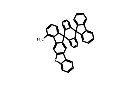 Cc1cccc2c1-c1cc3sc4ccccc4c3cc1C21c2ccccc2C2(c3ccccc3-c3ccccc32)c2ccccc21